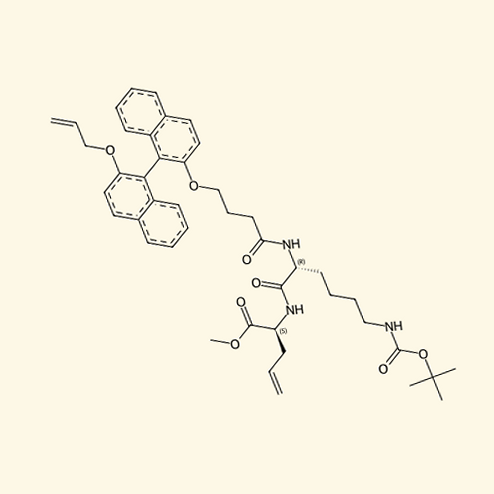 C=CCOc1ccc2ccccc2c1-c1c(OCCCC(=O)N[C@H](CCCCNC(=O)OC(C)(C)C)C(=O)N[C@@H](CC=C)C(=O)OC)ccc2ccccc12